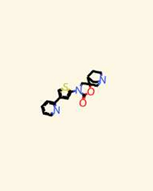 O=C1OC2(CN3CCC2CC3)CN1c1cc(-c2ccccn2)cs1